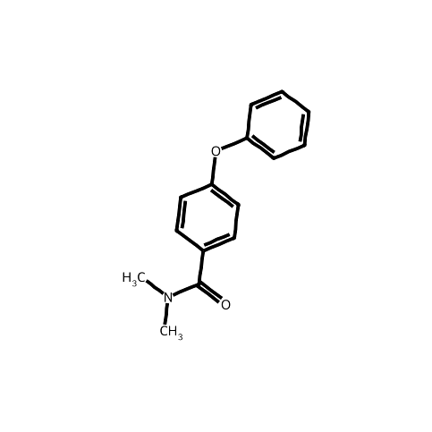 CN(C)C(=O)c1ccc(Oc2ccccc2)cc1